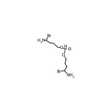 NC(Br)CCCO[PH](=O)OCCCC(N)Br